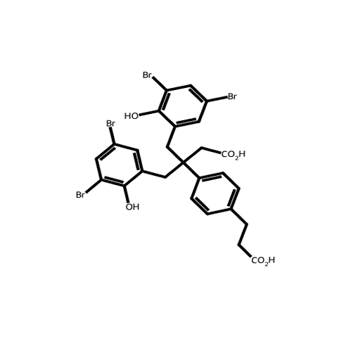 O=C(O)CCc1ccc(C(CC(=O)O)(Cc2cc(Br)cc(Br)c2O)Cc2cc(Br)cc(Br)c2O)cc1